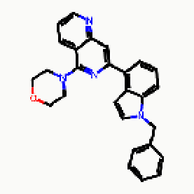 c1ccc(Cn2ccc3c(-c4cc5ncccc5c(N5CCOCC5)n4)cccc32)cc1